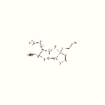 CC(C)CCC12CCCN1C1CC(=N)/C(=C\N)C1C2